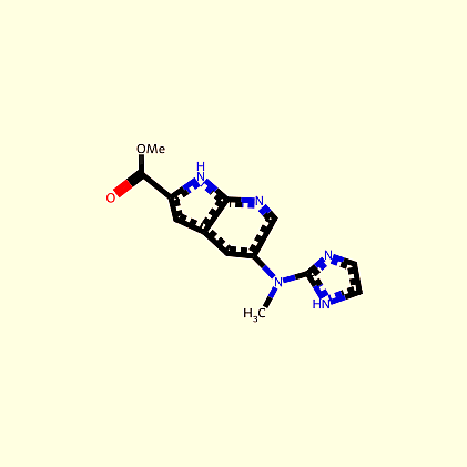 COC(=O)c1cc2cc(N(C)c3ncc[nH]3)cnc2[nH]1